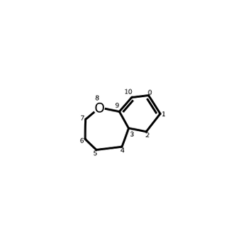 C1=CCC2CCCCOC2=C1